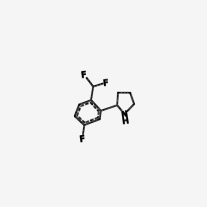 Fc1ccc(C(F)F)c(C2CCCN2)c1